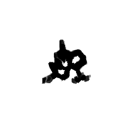 O=c1oc2cc(O)ccc2c2c([N+](=O)[O-])cccc12